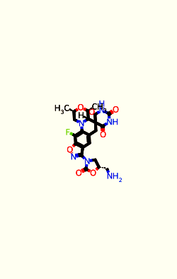 C[C@@H]1CN2c3c(cc4c(N5C[C@H](CN)OC5=O)noc4c3F)CC3(C(=O)NC(=O)NC3=O)[C@H]2[C@H](C)O1